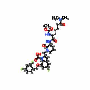 COC(=O)NC(CCC=CC(=O)N(C)C)C(=O)Nc1cccn(Cc2cc3cc(F)cc(OCc4ccc(F)cc4F)c3n2C(=O)O)c1=O